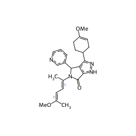 COC1=CCC(c2n[nH]c3c2C(c2cccnc2)N(/C(C)=C/C=C(\C)OC)C3=O)CC1